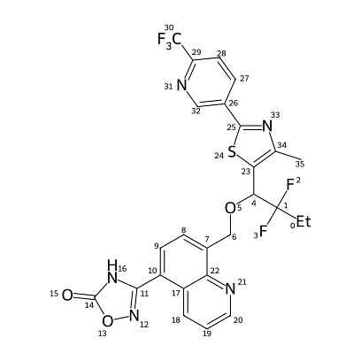 CCC(F)(F)C(OCc1ccc(-c2noc(=O)[nH]2)c2cccnc12)c1sc(-c2ccc(C(F)(F)F)nc2)nc1C